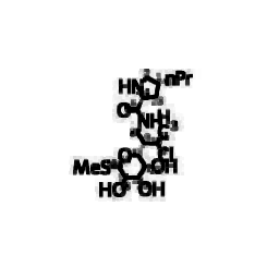 CCC[C@H]1CN[C@H](C(=O)NCC(C(C)Cl)[C@H]2O[C@H](SC)[C@H](O)[C@@H](O)[C@H]2O)C1